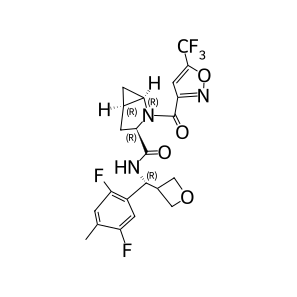 Cc1cc(F)c([C@H](NC(=O)[C@H]2C[C@H]3C[C@H]3N2C(=O)c2cc(C(F)(F)F)on2)C2COC2)cc1F